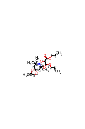 C=CCOC(=O)C(ON1C(C)(C)CC2(CC1(C)C)OCC(C)O2)C(=O)OCC=C